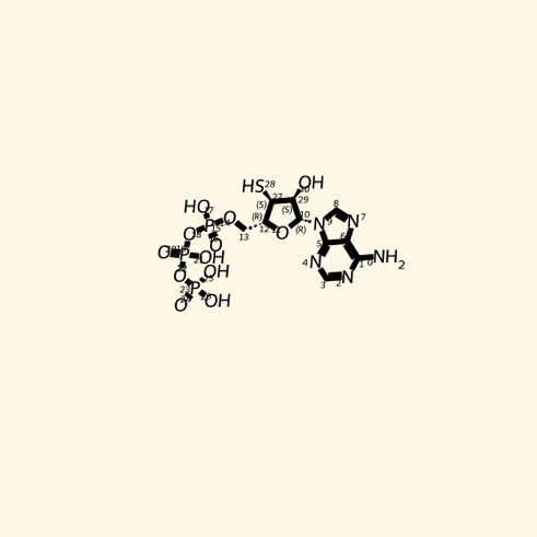 Nc1ncnc2c1ncn2[C@@H]1O[C@H](COP(=O)(O)OP(=O)(O)OP(=O)(O)O)[C@@H](S)[C@H]1O